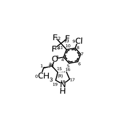 CC[C@@H](Oc1cccc(Cl)c1C(F)(F)F)[C@@H]1CCNC1